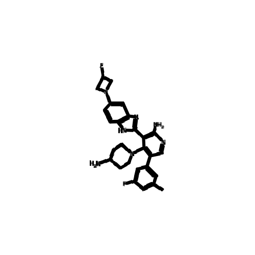 Cc1cc(F)cc(-c2cnc(N)c(-c3nc4cc(N5CC(F)C5)ccc4[nH]3)c2N2CCC(N)CC2)c1